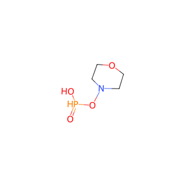 O=[PH](O)ON1CCOCC1